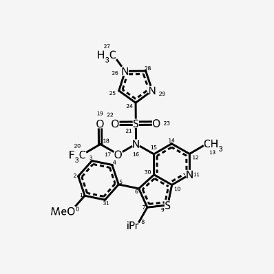 COc1cccc(-c2c(C(C)C)sc3nc(C)cc(N(OC(=O)C(F)(F)F)S(=O)(=O)c4cn(C)cn4)c23)c1